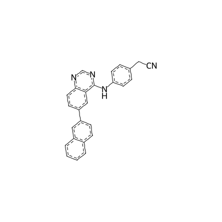 N#CCc1ccc(Nc2ncnc3ccc(-c4ccc5ccccc5c4)cc23)cc1